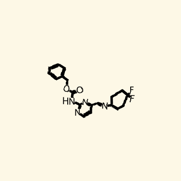 O=C(Nc1nccc(C=NC2CCC(F)(F)CC2)n1)OCc1ccccc1